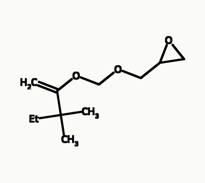 C=C(OCOCC1CO1)C(C)(C)CC